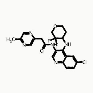 Cc1cnc(CC(=O)Nc2cnc3ccc(Cl)cc3c2NC2CCOCC2(F)F)cn1